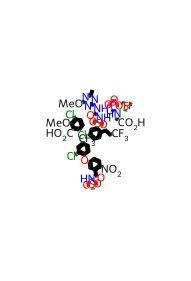 COc1c(Cl)ccc(Cl)c1C(=O)O.COc1nc(C)nc(NC(=O)NS(=O)(=O)c2ccccc2CCC(F)(F)F)n1.CS(=O)(=O)NC(=O)c1cc(Oc2ccc(C(F)(F)F)cc2Cl)ccc1[N+](=O)[O-].C[S+](C)C.O=C(O)CNCP(=O)([O-])O